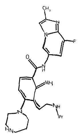 Cc1cn2cc(NC(=O)C3=CC=C(N4CCNCC4)/C(=C/NC(C)C)C3=N)cc(F)c2n1